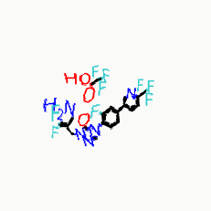 NCC(Cn1ncn(-c2ccc(-c3ccc(C(F)(F)F)nc3)cc2F)c1=O)=C(F)F.O=C(O)C(F)(F)F